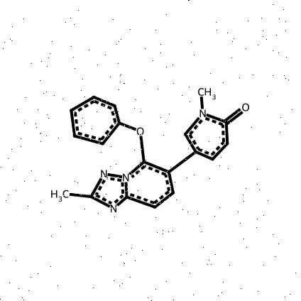 Cc1nc2ccc(-c3ccc(=O)n(C)c3)c(Oc3ccccc3)n2n1